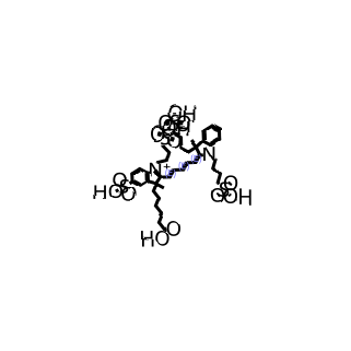 CC1(CCCCCC(=O)O)C(/C=C/C=C/C=C2/N(CCCCS(=O)(=O)O)c3ccccc3C2(C)CCCCS(=O)(=O)O)=[N+](CCCCS(=O)(=O)O)c2ccc(S(=O)(=O)O)cc21